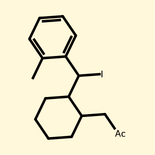 CC(=O)CC1CCCCC1C(I)c1ccccc1C